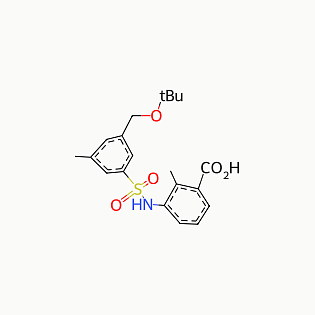 Cc1cc(COC(C)(C)C)cc(S(=O)(=O)Nc2cccc(C(=O)O)c2C)c1